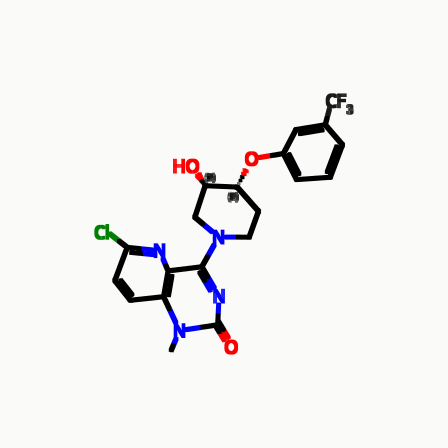 Cn1c(=O)nc(N2CC[C@@H](Oc3cccc(C(F)(F)F)c3)[C@H](O)C2)c2nc(Cl)ccc21